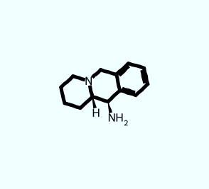 N[C@@H]1c2ccccc2CN2CCCC[C@@H]12